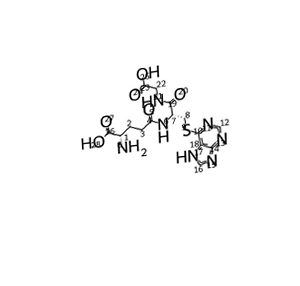 N[C@@H](CCC(=O)N[C@@H](CSc1ncnc2nc[nH]c12)C(=O)NCC(=O)O)C(=O)O